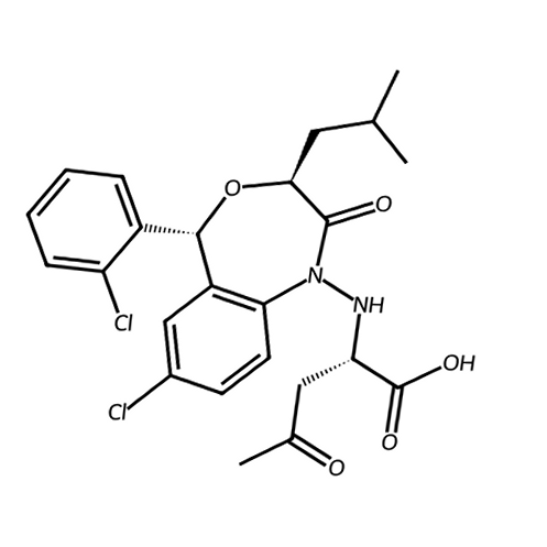 CC(=O)C[C@H](NN1C(=O)[C@H](CC(C)C)O[C@@H](c2ccccc2Cl)c2cc(Cl)ccc21)C(=O)O